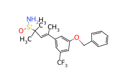 CC(=CC(C)(C)[S+](N)[O-])c1cc(OCc2ccccc2)cc(C(F)(F)F)c1